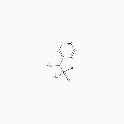 CCCCC(c1ccccc1)P(=O)(O)O